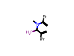 C=C(C(C)C)C(P)N(C)C(=C)CC